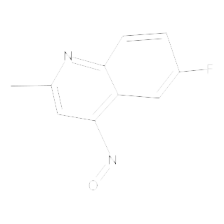 Cc1cc(N=O)c2cc(F)ccc2n1